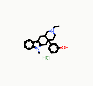 CCN1CCC2(c3cccc(O)c3)Cc3c(c4ccccc4n3C)CC2C1.Cl